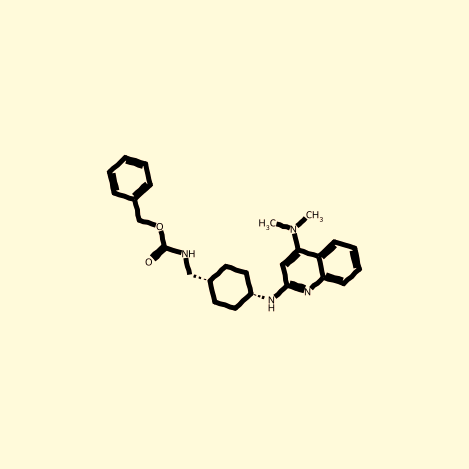 CN(C)c1cc(N[C@H]2CC[C@@H](CNC(=O)OCc3ccccc3)CC2)nc2ccccc12